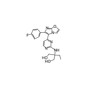 CCC(CO)(CO)Nc1nccc(-c2c(-c3ccc(F)cc3)nc3occn23)n1